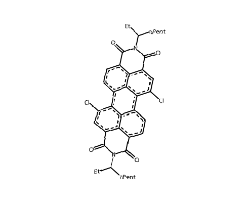 CCCCCC(CC)N1C(=O)c2ccc3c4c(Cl)cc5c6c(ccc(c7c(Cl)cc(c2c37)C1=O)c64)C(=O)N(C(CC)CCCCC)C5=O